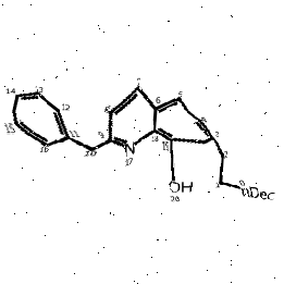 CCCCCCCCCCCCc1ccc2ccc(Cc3ccccc3)nc2c1O